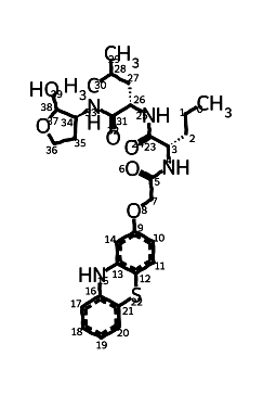 CCC[C@H](NC(=O)COc1ccc2c(c1)Nc1ccccc1S2)C(=O)N[C@@H](CC(C)C)C(=O)N[C@H]1CCOC1O